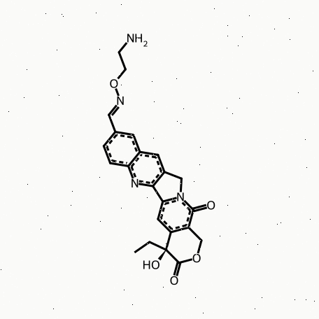 CC[C@@]1(O)C(=O)OCc2c1cc1n(c2=O)Cc2cc3cc(C=NOCCN)ccc3nc2-1